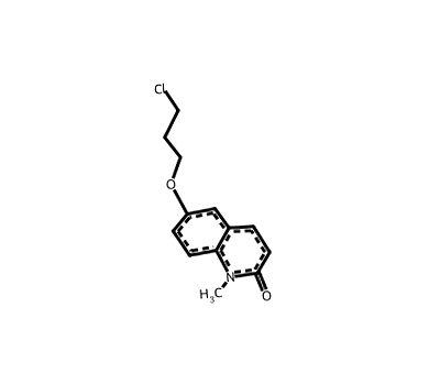 Cn1c(=O)ccc2cc(OCCCCl)ccc21